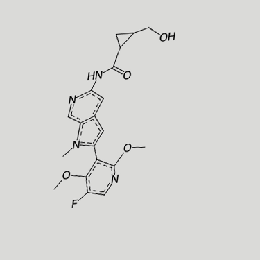 COc1ncc(F)c(OC)c1-c1cc2cc(NC(=O)C3CC3CO)ncc2n1C